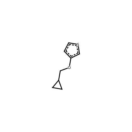 c1cc(OCC2CC2)cs1